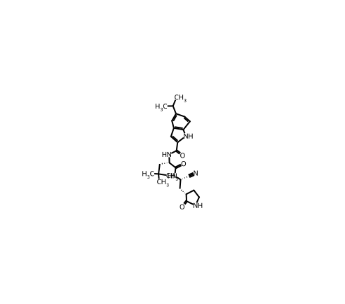 CC(C)c1ccc2[nH]c(C(=O)N[C@@H](CC(C)(C)C)C(=O)N[C@H](C#N)C[C@@H]3CCNC3=O)cc2c1